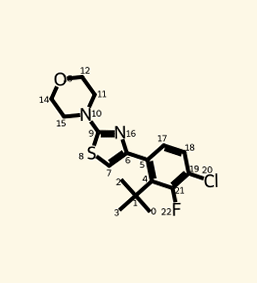 CC(C)(C)c1c(-c2csc(N3CCOCC3)n2)ccc(Cl)c1F